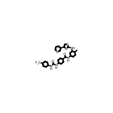 Cc1ccc(NC(=O)c2ccc(NC(=O)Nc3ccc(C(F)(F)F)cc3)cc2)cc1Nc1nc(-c2cccnc2)cs1